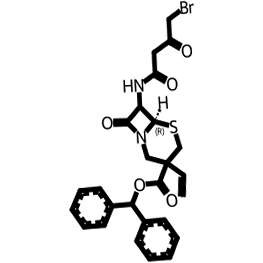 C=CC1(C(=O)OC(c2ccccc2)c2ccccc2)CS[C@@H]2C(NC(=O)CC(=O)CBr)C(=O)N2C1